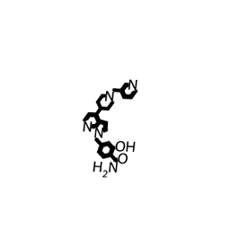 NC(=O)c1ccc(Cn2ccc3c(C4CCN(Cc5cccnc5)CC4)ccnc32)cc1O